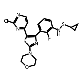 Fc1c(NSC2CC2)cccc1-c1nc(N2CCOCC2)sc1-c1ccnc(Cl)n1